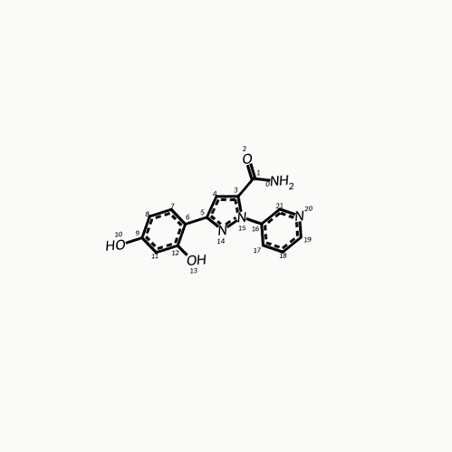 NC(=O)c1cc(-c2ccc(O)cc2O)nn1-c1cccnc1